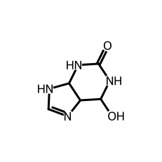 O=C1NC(O)C2N=CNC2N1